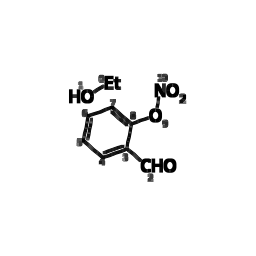 CCO.O=Cc1ccccc1O[N+](=O)[O-]